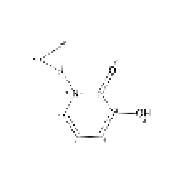 O=c1c(O)cccn1C1CC1